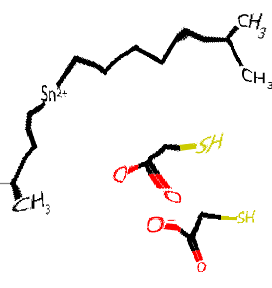 CCC[CH2][Sn+2][CH2]CCCCC(C)C.O=C([O-])CS.O=C([O-])CS